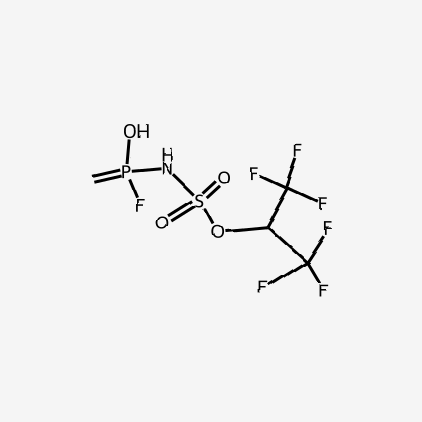 C=P(O)(F)NS(=O)(=O)OC(C(F)(F)F)C(F)(F)F